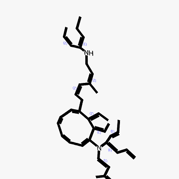 C=C/C=C(C)\C=C\N(C(/C=C/C)=C/C=C)c1ccccccc(C/C=C\C(C)=C/CNC(/C=C\C)=C/CC)c(=C/C)/c1=C\C